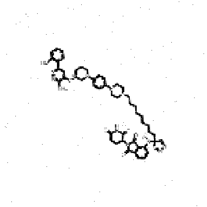 CN(c1cccc2c1C(=O)N(C1CCC(=O)NC1=O)C2=O)C1(CCCCCCCCCN2CCN(c3ccc(N4CCC[C@H](Oc5cc(-c6ccccc6O)nnc5N)C4)cc3)CC2)C=NN=N1